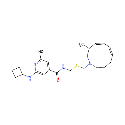 CC1/C=C\C=C/CCCN(CSCNC(=O)c2cc(N=O)nc(NC3CCC3)c2)C1